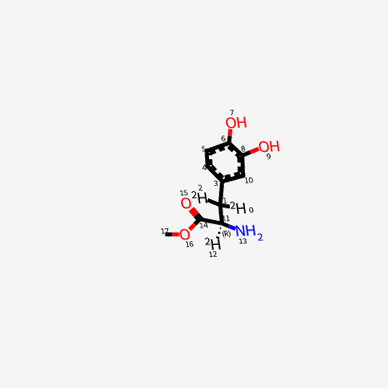 [2H]C([2H])(c1ccc(O)c(O)c1)[C@@]([2H])(N)C(=O)OC